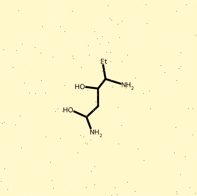 CCC(N)C(O)CC(N)O